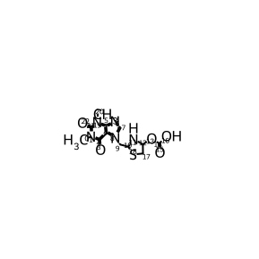 Cn1c(=O)c2c(ncn2CC2NC(OC(=O)O)CS2)n(C)c1=O